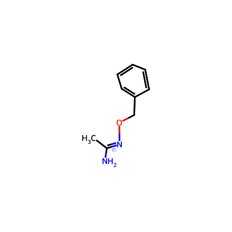 C/C(N)=N\OCc1ccccc1